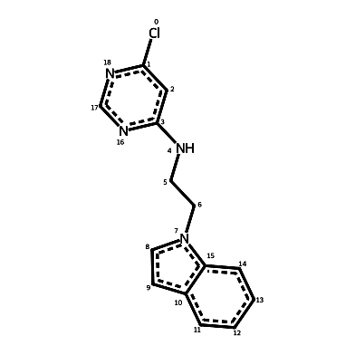 Clc1cc(NCCn2ccc3ccccc32)ncn1